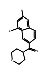 Cc1cc(Cl)c2cc(C(=O)N3CCOCC3)ccc2n1